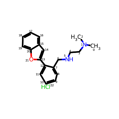 CN(C)CCNCc1ccccc1-c1cc2ccccc2o1.Cl